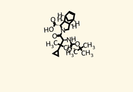 CC(C)(C)OC(=O)N[C@H](C(=O)N1C[C@H]2[C@@H]([C@H]1C(=O)O)[C@H]1C=C[C@@H]2C1)C(C)(C)C1CC1